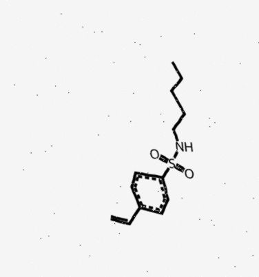 C=Cc1ccc(S(=O)(=O)NCCCCC)cc1